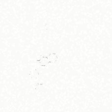 C[C@@H]1CCC[C@H](C)N1CCCCCn1c(=O)c(-c2cccc(C(=N)N)c2)nc2ccc(OCCC(=O)O)cc21